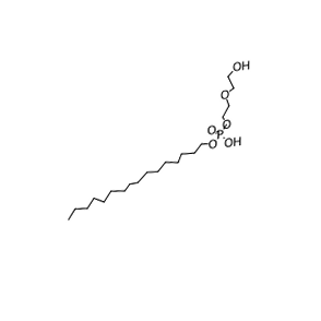 CCCCCCCCCCCCCCCCOP(=O)(O)OCCOCCO